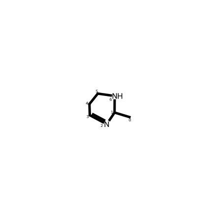 CC1N=CCCN1